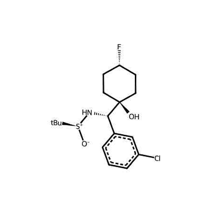 CC(C)(C)[S@+]([O-])N[C@@H](c1cccc(Cl)c1)[C@]1(O)CC[C@H](F)CC1